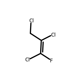 FC(Cl)=C(Cl)CCl